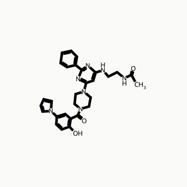 CC(=O)NCCNc1cc(N2CCN(C(=O)c3cc(-n4cccc4)ccc3O)CC2)nc(-c2ccccc2)n1